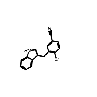 N#Cc1ccc(Br)c(CC2CNc3ccccc32)c1